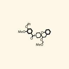 COCOC1Cc2ccccc2OC12CCN(C(=O)c1ccc(OC(C)C)c(OC)c1)CC2